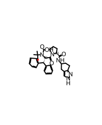 CC(C)(C)N(C(=O)O)[C@H](C(=O)N1CCC[C@H]1C(=O)NC1CCc2n[nH]cc2C1)C(c1ccccc1)c1ccccc1